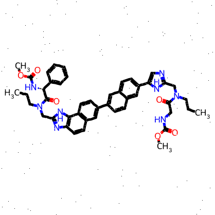 CCCN(Cc1ncc(-c2ccc3cc(-c4ccc5c(ccc6nc(CN(CCC)C(=O)[C@H](NC(=O)OC)c7ccccc7)[nH]c65)c4)ccc3c2)[nH]1)C(=O)CNC(=O)OC